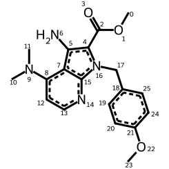 COC(=O)c1c(N)c2c(N(C)C)ccnc2n1Cc1ccc(OC)cc1